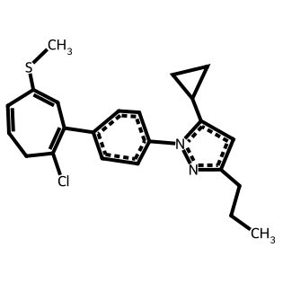 CCCc1cc(C2CC2)n(-c2ccc(C3=C(Cl)CC=CC(SC)=C3)cc2)n1